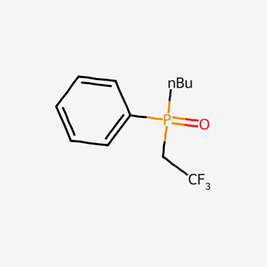 CCCCP(=O)(CC(F)(F)F)c1ccccc1